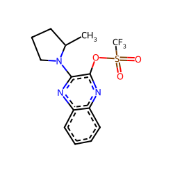 CC1CCCN1c1nc2ccccc2nc1OS(=O)(=O)C(F)(F)F